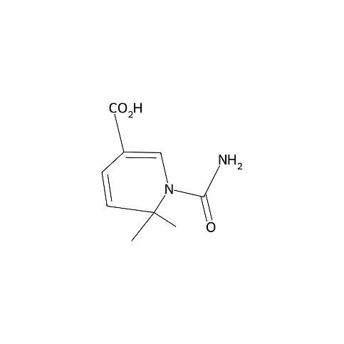 CC1(C)C=CC(C(=O)O)=CN1C(N)=O